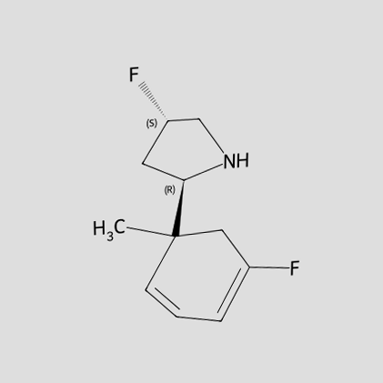 CC1([C@H]2C[C@H](F)CN2)C=CC=C(F)C1